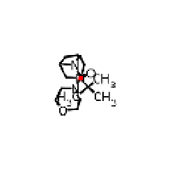 CC(C)(C)N1CC2CC(C1)N2C(=O)N1CCOCC1